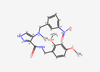 COc1ccc(CNC(=O)c2n[nH]cc2N(C)Cc2cccc([N+](=O)[O-])c2)c(OC)c1